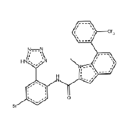 Cn1c(C(=O)Nc2ccc(Br)cc2-c2nnn[nH]2)cc2cccc(-c3ccccc3C(F)(F)F)c21